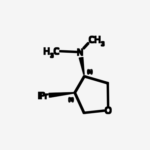 CC(C)[C@@H]1COC[C@H]1N(C)C